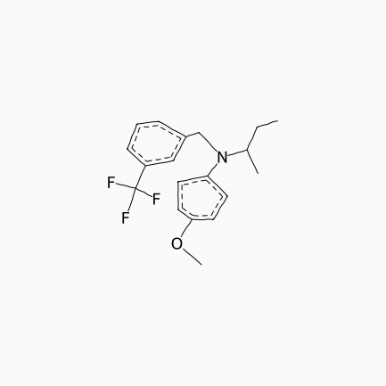 CCC(C)N(Cc1cccc(C(F)(F)F)c1)c1ccc(OC)cc1